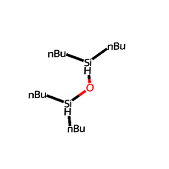 CCCC[SiH](CCCC)O[SiH](CCCC)CCCC